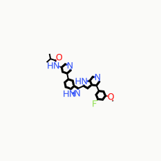 COc1cc(F)cc(-c2cncc3[nH]c(-c4n[nH]c5ccc(-c6cncc(NC(=O)C(C)C)c6)cc45)cc23)c1